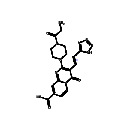 NCC(=O)N1CCN(c2nc3cc(C(=O)O)ccn3c(=O)c2/C=C/c2nnn[nH]2)CC1